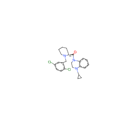 O=C([C@@H]1CCCCN1Cc1cc(Cl)ccc1Cl)N1CCN(C2CC2)c2ccccc21